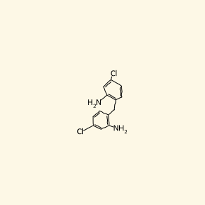 Nc1cc(Cl)ccc1Cc1ccc(Cl)cc1N